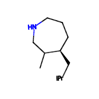 CC(C)C[C@@H]1CCCNCC1C